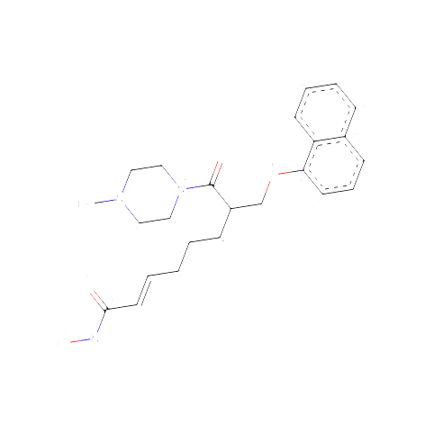 CN1CCN(C(=O)C(CCCC=CC(=O)NO)COc2cccc3ccccc23)CC1